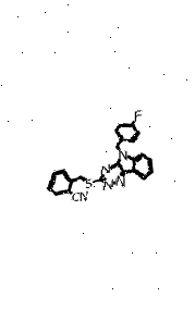 N#Cc1ccccc1CSc1nnc2c3ccccc3n(Cc3ccc(F)cc3)c2n1